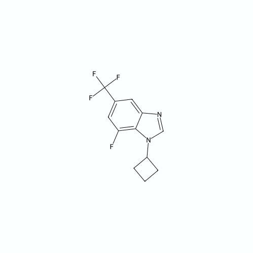 Fc1cc(C(F)(F)F)cc2ncn(C3CCC3)c12